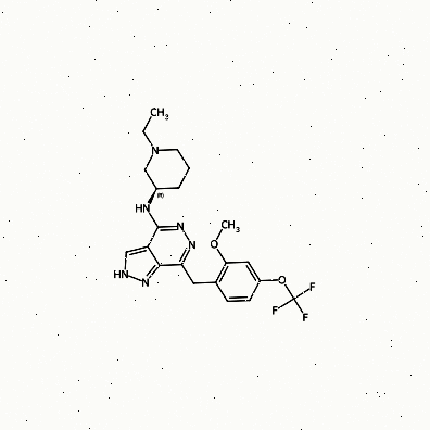 CCN1CCC[C@@H](Nc2nnc(Cc3ccc(OC(F)(F)F)cc3OC)c3n[nH]cc23)C1